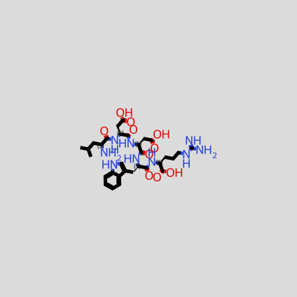 CC(C)C[C@H](N)C(=O)N[C@@H](CC(=O)O)C(=O)N[C@@H](CC(=O)O)C(=O)N[C@@H](Cc1c[nH]c2ccccc12)C(=O)N[C@@H](CCCNC(=N)N)C(=O)O